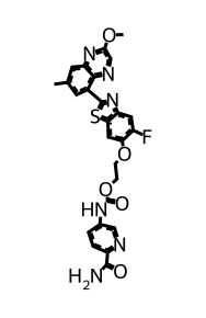 COc1cnc2c(-c3nc4cc(F)c(OCCOC(=O)Nc5ccc(C(N)=O)nc5)cc4s3)cc(C)cc2n1